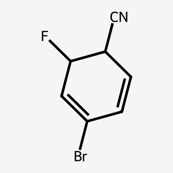 N#CC1C=CC(Br)=CC1F